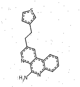 Nc1nc2ccccc2c2cc(CCc3ccsc3)cnc12